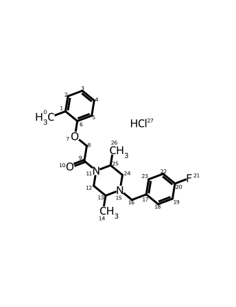 Cc1ccccc1OCC(=O)N1CC(C)N(Cc2ccc(F)cc2)CC1C.Cl